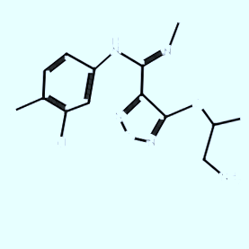 C/N=C(\Nc1ccc(F)c(Cl)c1)c1nonc1OC(C)CN